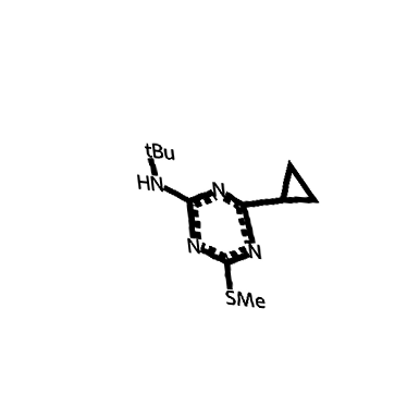 CSc1nc(NC(C)(C)C)nc(C2CC2)n1